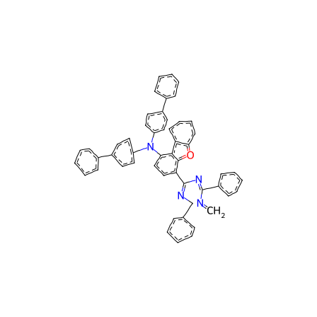 C=N/C(=N\C(=N/Cc1ccccc1)c1ccc(N(c2ccc(-c3ccccc3)cc2)c2ccc(-c3ccccc3)cc2)c2c1oc1ccccc12)c1ccccc1